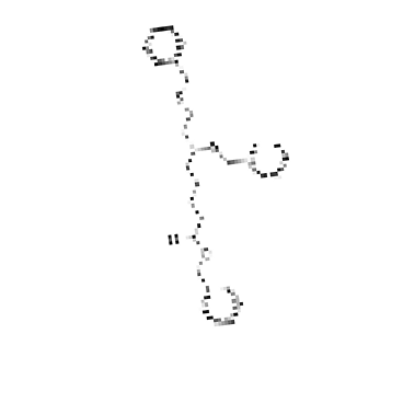 O=C(CCCCC(CCSCc1ccccc1)SCc1ccccc1)OCc1ccccc1